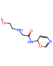 COCCNCC(=O)NC1C=CN=CO1